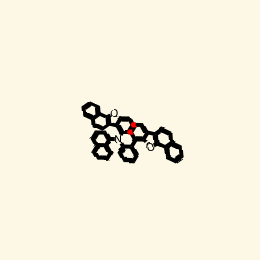 c1ccc(N(c2cccc3ccccc23)c2cccc3oc4c5ccccc5ccc4c23)c(-c2cccc3c2oc2c4ccccc4ccc32)c1